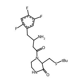 CC(C)(C)SCC1C(=O)NCCN1C(=O)CC(N)Cc1cc(F)c(F)cc1F